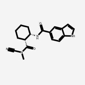 CN(C#N)C(=O)[C@@H]1CCCC[C@@H]1NC(=O)c1ccc2[nH]ccc2c1